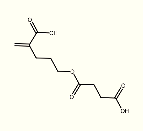 C=C(CCCOC(=O)CCC(=O)O)C(=O)O